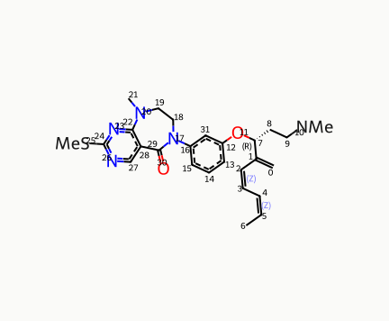 C=C(/C=C\C=C/C)[C@@H](CCNC)Oc1cccc(N2CCN(C)c3nc(SC)ncc3C2=O)c1